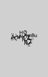 CCCCn1c(=O)c(NN=CC2(C)CC2)nc2ncccc21